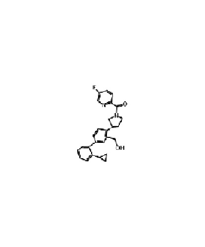 O=C(c1ccc(F)cn1)N1CC[C@@H](c2ccc(-c3ccccc3C3CC3)cc2CO)C1